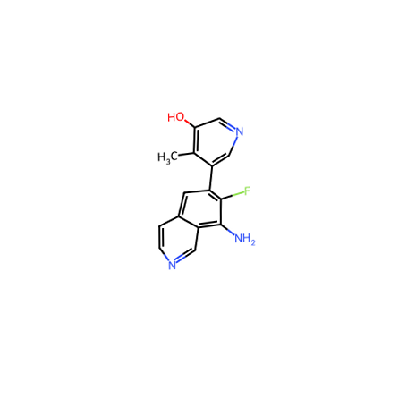 Cc1c(O)cncc1-c1cc2ccncc2c(N)c1F